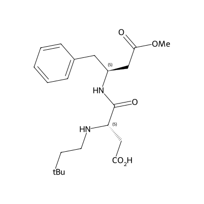 COC(=O)C[C@H](Cc1ccccc1)NC(=O)[C@H](CC(=O)O)NCCC(C)(C)C